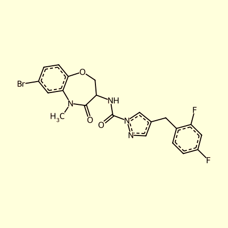 CN1C(=O)C(NC(=O)n2cc(Cc3ccc(F)cc3F)cn2)COc2ccc(Br)cc21